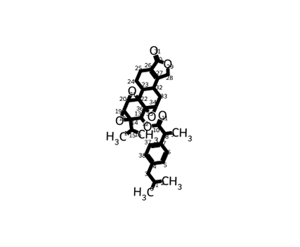 CC(C)Cc1ccc(C(C)C(=O)OC2C3(C(C)C)OC3C3OC34C3CCC5=C(COC5=O)C3CC3OC324)cc1